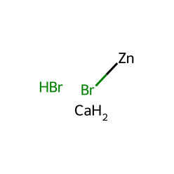 Br.[CaH2].[Zn][Br]